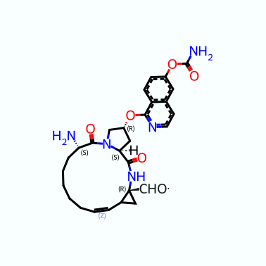 NC(=O)Oc1ccc2c(O[C@@H]3C[C@H]4C(=O)N[C@]5([C]=O)CC5/C=C\CCCCC[C@H](N)C(=O)N4C3)nccc2c1